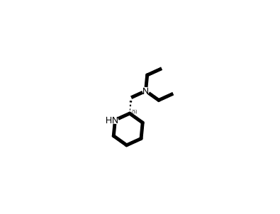 CCN(CC)C[C@@H]1CCCCN1